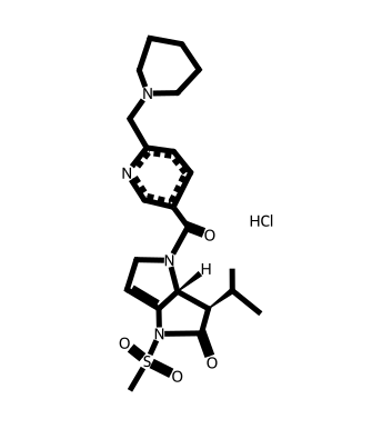 CC(C)[C@H]1C(=O)N(S(C)(=O)=O)C2=CCN(C(=O)c3ccc(CN4CCCCC4)nc3)[C@@H]21.Cl